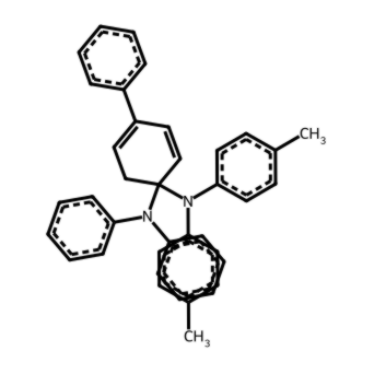 Cc1ccc(N(c2ccc(C)cc2)C2(N(c3ccccc3)c3ccccc3)C=CC(c3ccccc3)=CC2)cc1